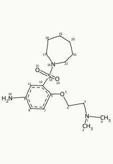 CN(C)CCOc1ccc(N)cc1S(=O)(=O)N1CCCCCC1